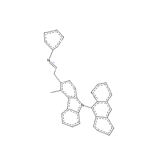 Cc1c(C/C=N/c2ccccc2)ccc2c1c1ccccc1n2-c1c2ccccc2cc2ccccc12